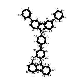 c1ccc(-c2ccc3c(c2)c2cc(-c4ccccc4)ccc2n3-c2ccc(-c3ccc4c(c3)Oc3cccc5c6ccccc6n-4c35)cc2)cc1